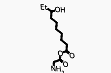 CCC(O)CCCCCCC(=O)OC(=O)CN